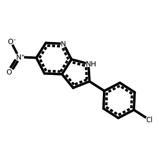 O=[N+]([O-])c1cnc2[nH]c(-c3ccc(Cl)cc3)cc2c1